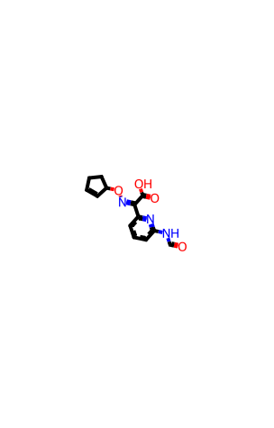 O=CNc1cccc(C(=NOC2C=CCC2)C(=O)O)n1